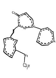 O=C(O)Nc1cccc(Cc2nn(-c3ccncc3)ccc2=O)c1